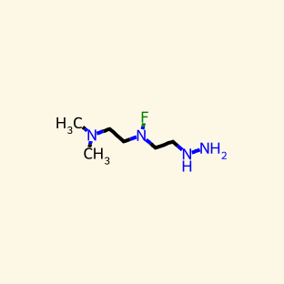 CN(C)CCN(F)CCNN